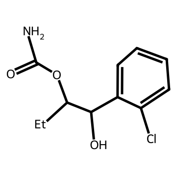 CCC(OC(N)=O)C(O)c1ccccc1Cl